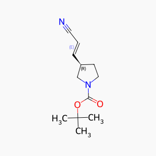 CC(C)(C)OC(=O)N1CC[C@H](/C=C/C#N)C1